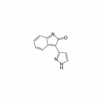 O=C1N=c2ccccc2=C1c1cc[nH]n1